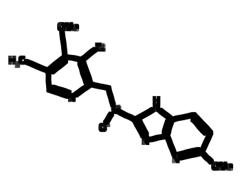 CCc1c(C[S+]([O-])c2nc3nc(OC)ccc3[nH]2)ncc(C)c1OC